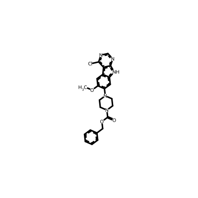 COc1cc2c(cc1N1CCN(C(=O)OCc3ccccc3)CC1)[nH]c1ncnc(Cl)c12